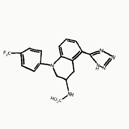 O=C(O)NC1Cc2c(-c3nnn[nH]3)cccc2N(c2ccc(C(F)(F)F)cc2)C1